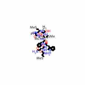 CC[C@H](C)[C@H](NC(=O)[C@@H](NC(=O)[C@H](CCSC)NC(=O)[C@@H](NC(=O)[C@H](CCSC)NC(=O)[C@H](Cc1ccccc1)NC(=O)[C@H](Cc1c[nH]c2ccccc12)NC(=O)[C@H](CCC(N)=O)NC(=O)[C@@H](N)CCSC)[C@@H](C)O)C(C)C)C(=O)O